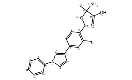 Cc1cc(-c2ccn(-c3ccccc3)n2)ccc1COC(C)(N)C(=O)O